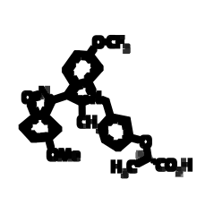 COc1ccc2onc(-c3c(C)n(Cc4cccc(O[C@@H](C)C(=O)O)c4)c4cc(OC(F)(F)F)ccc34)c2c1